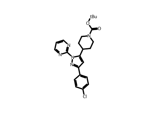 CC(C)(C)OC(=O)N1CCC(c2cc(-c3ccc(Cl)cc3)nn2-c2ncccn2)CC1